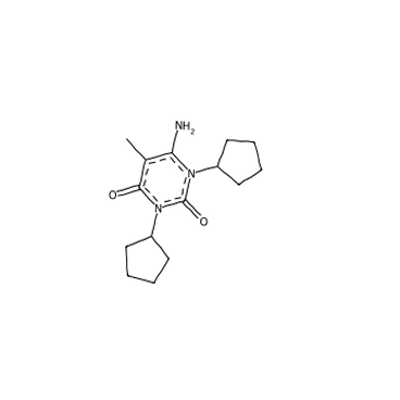 Cc1c(N)n(C2CCCC2)c(=O)n(C2CCCC2)c1=O